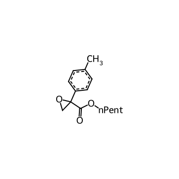 CCCCCOC(=O)C1(c2ccc(C)cc2)CO1